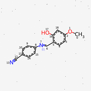 COc1ccc(/C=N/c2ccc(C#N)cc2)c(O)c1